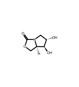 O=C1OC[C@@H]2[C@H](O)[C@@H](O)CN12